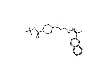 C/C(=N/OCCOC1CCN(C(=O)OC(C)(C)C)CC1)c1ccc2ccccc2c1